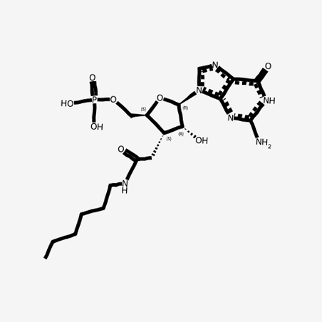 CCCCCCNC(=O)C[C@H]1[C@@H](O)[C@H](n2cnc3c(=O)[nH]c(N)nc32)O[C@@H]1COP(=O)(O)O